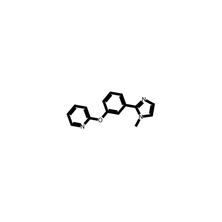 Cn1ccnc1-c1cccc(Oc2ccccn2)c1